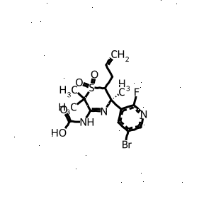 C=CCC1[C@@](C)(c2cc(Br)cnc2F)N=C(NC(=O)O)C(C)(C)S1(=O)=O